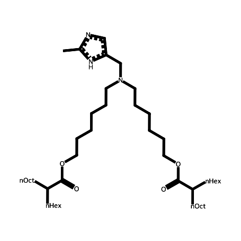 CCCCCCCCC(CCCCCC)C(=O)OCCCCCCN(CCCCCCOC(=O)C(CCCCCC)CCCCCCCC)Cc1cnc(C)[nH]1